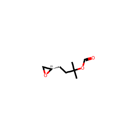 CC(C)(CC[C@H]1CO1)OC=O